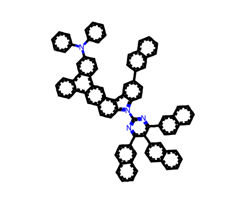 c1ccc(N(c2ccccc2)c2ccc3c(c2)c2ccccc2c2cc4ccc5c(c4cc32)c2cc(-c3ccc4ccccc4c3)ccc2n5-c2nc(-c3ccc4ccccc4c3)c(-c3ccc4ccccc4c3)c(-c3ccc4ccccc4c3)n2)cc1